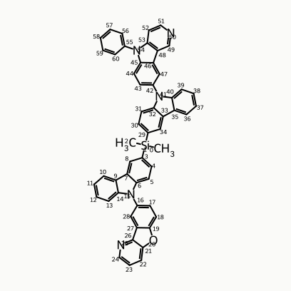 C[Si](C)(c1ccc2c(c1)c1ccccc1n2-c1ccc2oc3cccnc3c2c1)c1ccc2c(c1)c1ccccc1n2-c1ccc2c(c1)c1cnccc1n2-c1ccccc1